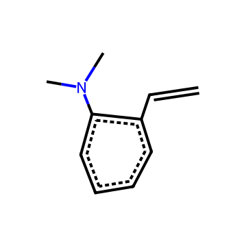 C=Cc1ccccc1N(C)C